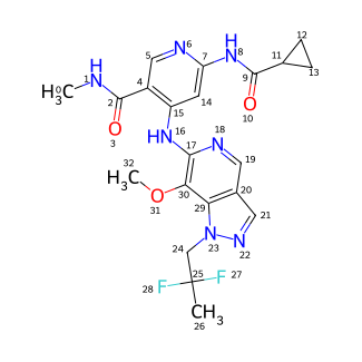 CNC(=O)c1cnc(NC(=O)C2CC2)cc1Nc1ncc2cnn(CC(C)(F)F)c2c1OC